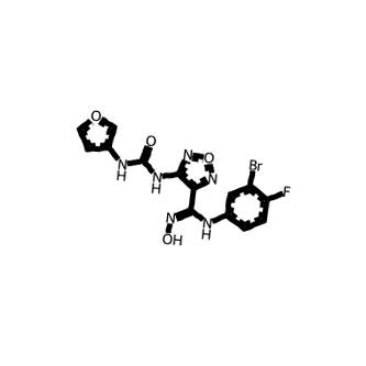 O=C(Nc1ccoc1)Nc1nonc1/C(=N/O)Nc1ccc(F)c(Br)c1